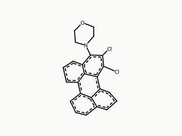 Clc1c(N2CCOCC2)c2cccc3c4cccc5cccc(c(c1Cl)c23)c54